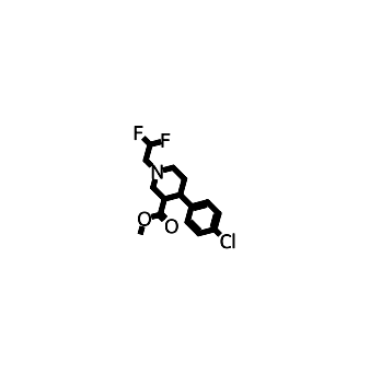 COC(=O)C1CN(CC(F)F)CCC1c1ccc(Cl)cc1